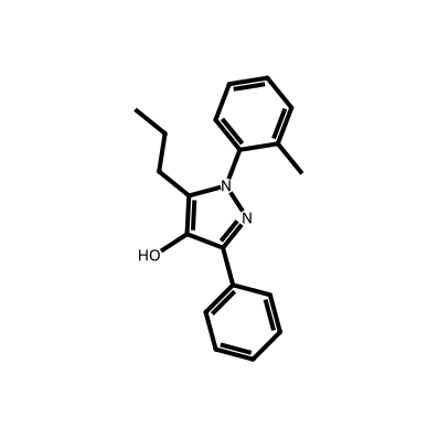 CCCc1c(O)c(-c2ccccc2)nn1-c1ccccc1C